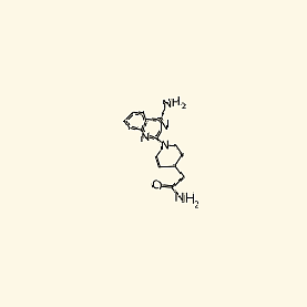 NC(=O)CC1CCN(c2nc(N)c3ccccc3n2)CC1